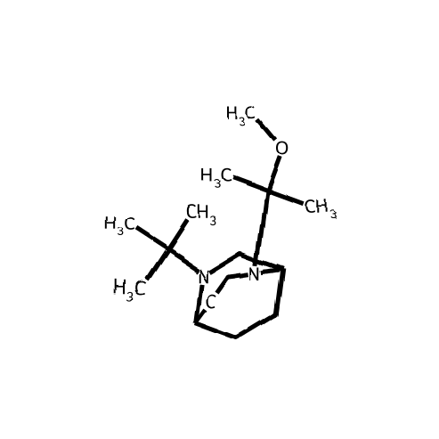 COC(C)(C)N1CCC2CCC1CN2C(C)(C)C